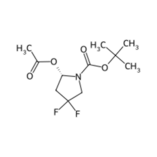 CC(=O)O[C@H]1CC(F)(F)CN1C(=O)OC(C)(C)C